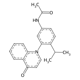 CC(=O)Nc1ccc(C(C)C)c(-n2ccc(=O)c3ccccc32)c1